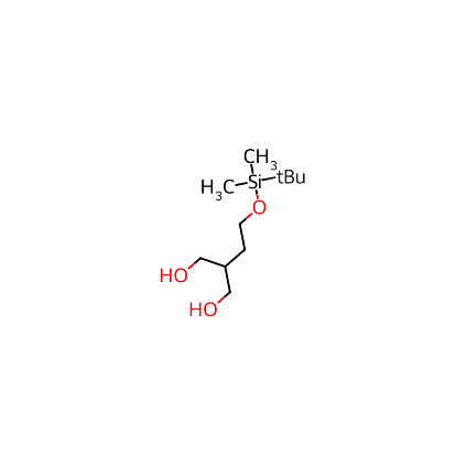 CC(C)(C)[Si](C)(C)OCCC(CO)CO